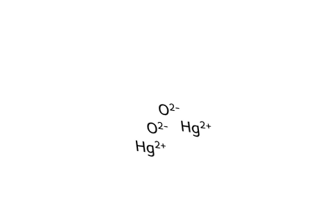 [Hg+2].[Hg+2].[O-2].[O-2]